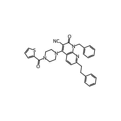 N#Cc1c(N2CCN(C(=O)c3cccs3)CC2)c2ccc(CCc3ccccc3)nc2n(Cc2ccccc2)c1=O